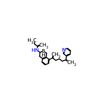 C=C(CC)NC1BCc2c(cccc2C(=C)CCCC(=C)c2cccnc2)C1